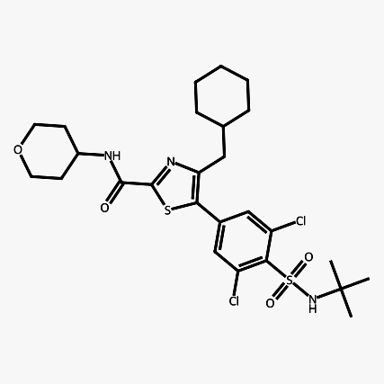 CC(C)(C)NS(=O)(=O)c1c(Cl)cc(-c2sc(C(=O)NC3CCOCC3)nc2CC2CCCCC2)cc1Cl